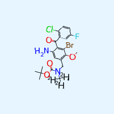 [2H]C([2H])([2H])N(Cc1cc(N)c(C(=O)c2cc(F)ccc2Cl)c(Br)c1OC)C(=O)OC(C)(C)C